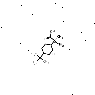 CC(C)(C)C1CCC([C@](C)(N)C(=O)O)CC1.Cl